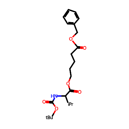 CC(C)C(NC(=O)OC(C)(C)C)C(=O)OCCCCC(=O)OCc1ccccc1